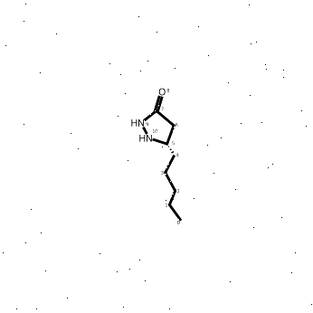 CCCCC[C@H]1CC(=O)NN1